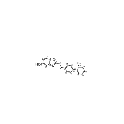 Oc1ccc2oc(CCc3ccc(-c4ccccc4F)cc3)nc2c1